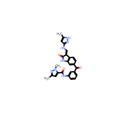 Cc1cc(C(=O)Nc2cccc(C(=O)c3ccc4c(c3)NC(=O)/C4=C\Nc3cc(C)[nH]n3)c2)n(C)n1